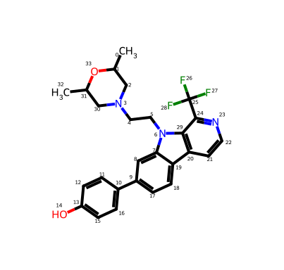 CC1CN(CCn2c3cc(-c4ccc(O)cc4)ccc3c3ccnc(C(F)(F)F)c32)CC(C)O1